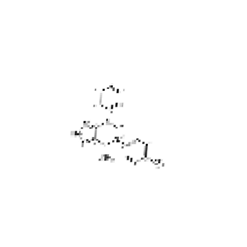 NC1c2c[nH]nc2N(c2ccccc2)CN1c1ccc(C(F)(F)F)cc1